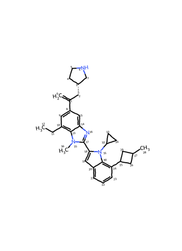 C=C(C[C@@H]1CCNC1)c1cc(CC)c2c(c1)nc(-c1cc3cccc(C4CC(C)C4)c3n1C1CC1)n2C